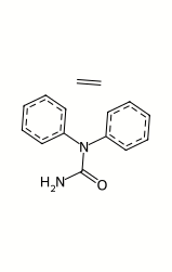 C=C.NC(=O)N(c1ccccc1)c1ccccc1